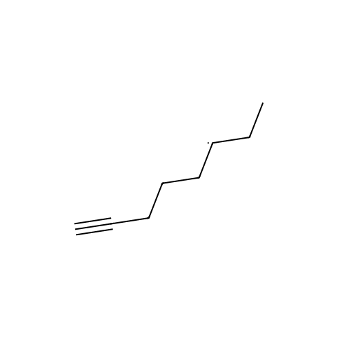 C#CCCC[CH]CC